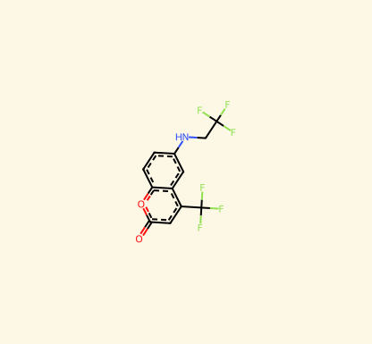 O=c1cc(C(F)(F)F)c2cc(NCC(F)(F)F)ccc2o1